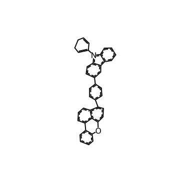 C1=CC(n2c3ccccc3c3cc(-c4ccc(-c5ccc6c7c(cccc57)-c5ccccc5O6)cc4)ccc32)=CCC1